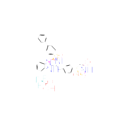 O=C(O)C(F)(F)F.O=C1C[C@@H](c2ccc(C[C@H](NS(=O)(=O)c3ccc(-c4ccccc4)cc3)c3nc4ccccc4[nH]3)cc2)S(=O)(=O)N1